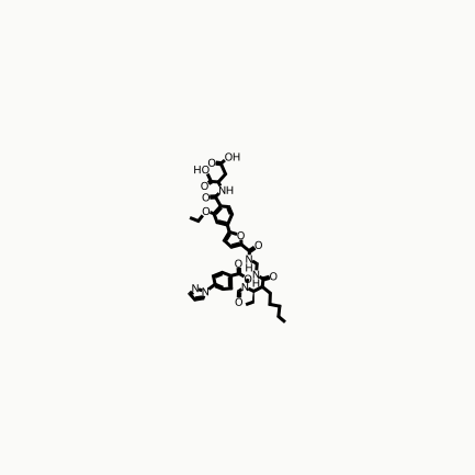 CCCCCC(C(=O)NCNC(=O)c1ccc(-c2ccc(C(=O)NC(CC(=O)O)C(=O)O)c(OCC)c2)o1)[C@@H](CC)N(C=O)OC(=O)c1ccc(-n2cccn2)cc1